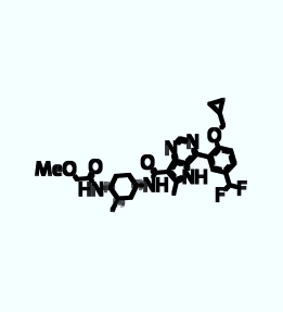 COCC(=O)N[C@@H]1CC[C@@H](NC(=O)c2c(C)[nH]c3c(-c4cc(C(F)F)ccc4OCC4CC4)ncnc23)C[C@H]1C